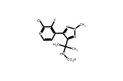 Cn1nc(-c2ccnc(Cl)c2F)c(C(C)(C)NC(=O)O)n1